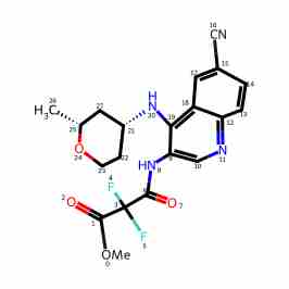 COC(=O)C(F)(F)C(=O)Nc1cnc2ccc(C#N)cc2c1N[C@@H]1CCO[C@H](C)C1